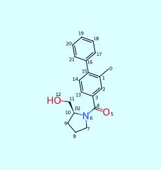 Cc1cc(C(=O)N2CCC[C@H]2CO)ccc1-c1ccccc1